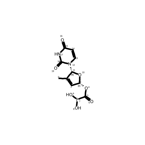 CC1=C[C@@H](OC(=O)P(O)O)O[C@H]1n1ccc(=O)[nH]c1=O